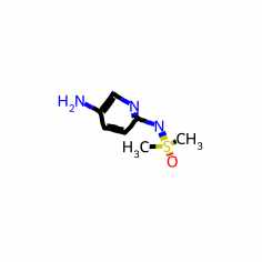 CS(C)(=O)=Nc1ccc(N)cn1